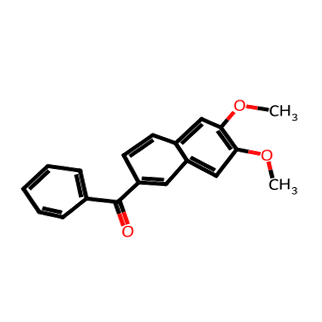 COc1cc2ccc(C(=O)c3ccccc3)cc2cc1OC